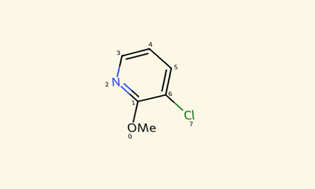 COc1ncccc1Cl